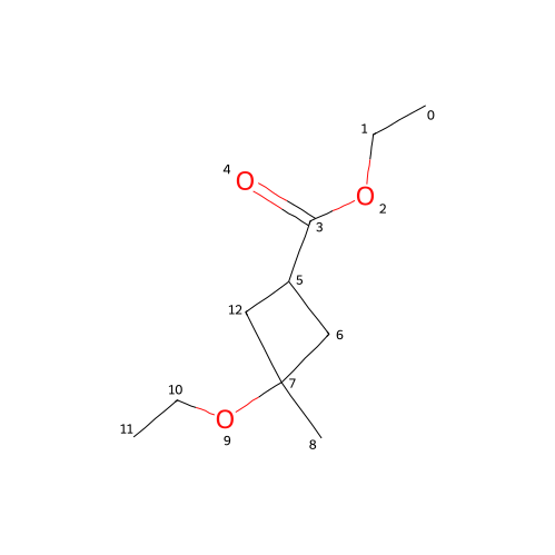 CCOC(=O)C1CC(C)(OCC)C1